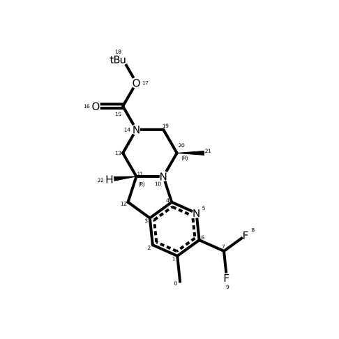 Cc1cc2c(nc1C(F)F)N1[C@H](C2)CN(C(=O)OC(C)(C)C)C[C@H]1C